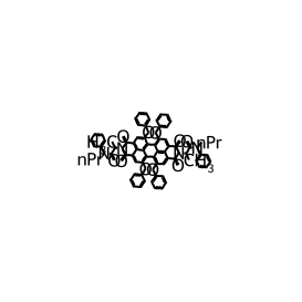 CCCN(C(=O)C(C)N1C(=O)c2cc(Oc3ccccc3)c3c4c(Oc5ccccc5)cc5c6c(cc(Oc7ccccc7)c(c7c(Oc8ccccc8)cc(c2c37)C1=O)c64)C(=O)N(C(C)C(=O)N(CCC)c1ccccc1)C5=O)c1ccccc1